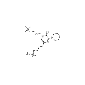 CC(C)(C)[Si](C)(C)OCCCc1cn(COCC[Si](C)(C)C)c(=O)c(N2CCCCC2)n1